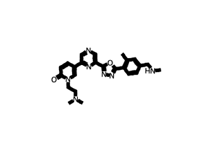 CNCc1ccc(-c2nnc(-c3cncc(-c4ccc(=O)n(CCN(C)C)c4)n3)o2)c(C)c1